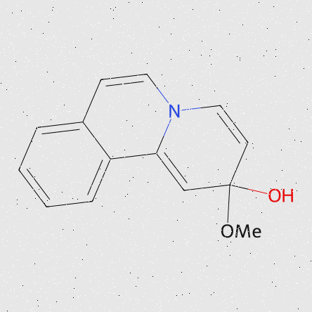 COC1(O)C=CN2C=Cc3ccccc3C2=C1